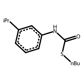 CCCCSC(=O)Nc1cccc(C(C)C)c1